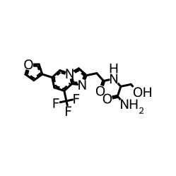 NC(=O)C(CO)NC(=O)Cc1cn2cc(-c3ccoc3)cc(C(F)(F)F)c2n1